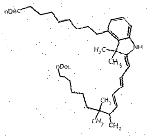 [CH2]C(C=CC=CC=C1Nc2cccc(CCCCCCCCCCCCCCCCCC)c2C1(C)C)C(C)(C)CCCCCCCCCCCCCCC